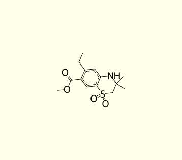 CCc1cc2c(cc1C(=O)OC)S(=O)(=O)CC(C)(C)N2